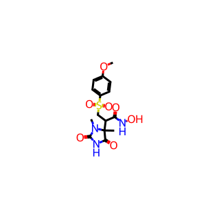 COc1ccc(S(=O)(=O)CC(C(=O)NO)C2(C)C(=O)NC(=O)N2C)cc1